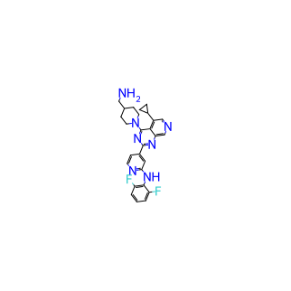 NCC1CCN(c2nc(-c3ccnc(Nc4c(F)cccc4F)c3)nc3cncc(C4CC4)c23)CC1